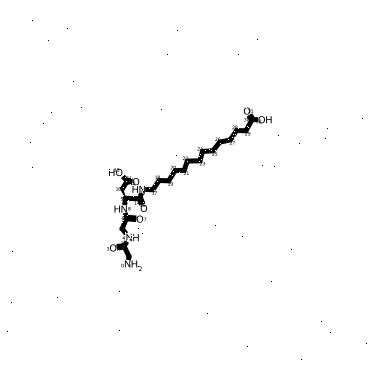 NCC(=O)NCC(=O)N[C@@H](CC(=O)O)C(=O)NCCCCCCCCCCCCCC(=O)O